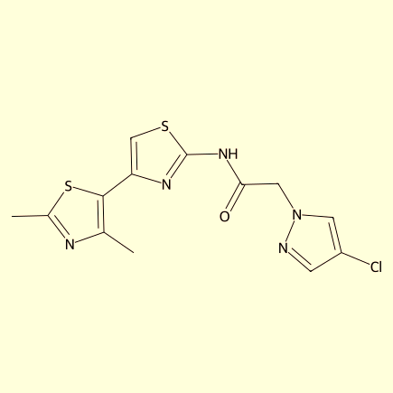 Cc1nc(C)c(-c2csc(NC(=O)Cn3cc(Cl)cn3)n2)s1